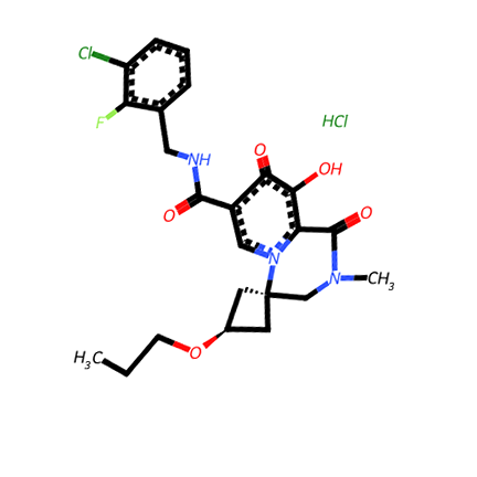 CCCO[C@H]1C[C@]2(CN(C)C(=O)c3c(O)c(=O)c(C(=O)NCc4cccc(Cl)c4F)cn32)C1.Cl